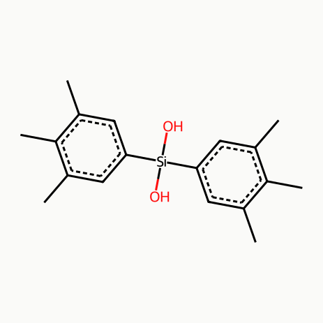 Cc1cc([Si](O)(O)c2cc(C)c(C)c(C)c2)cc(C)c1C